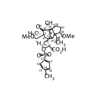 COC[C@]1(C)C[C@@H](C(OS(=O)(=O)c2ccc(C)cc2)C(=O)O)[C@@]2(C)[C@H](C)CC[C@]3(CC[C@@H](OC)[C@@H]32)[C@@H](C)C1=O